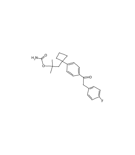 CC(C)(CC1(c2ccc(C(=O)Cc3ccc(F)cc3)cc2)CCC1)OC(N)=O